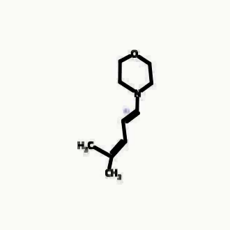 CC(C)=C/C=C/N1CCOCC1